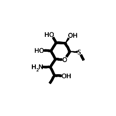 CS[C@H]1OC(C(N)C(C)O)C(O)C(O)[C@H]1O